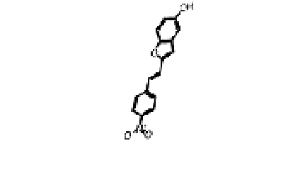 O=[N+]([O-])c1ccc(/C=C/c2cc3cc(O)ccc3o2)cc1